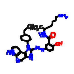 N#CCC1CCC(n2c(/N=N/c3ccc(O)c(C(=O)N[C@H](CCCCN)C(=O)O)c3)nc3cnc4[nH]ccc4c32)CC1